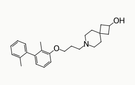 Cc1ccccc1-c1cccc(OCCCN2CCC3(CC2)CC(O)C3)c1C